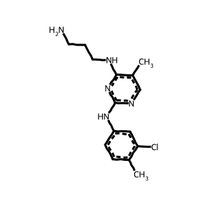 Cc1ccc(Nc2ncc(C)c(NCCCN)n2)cc1Cl